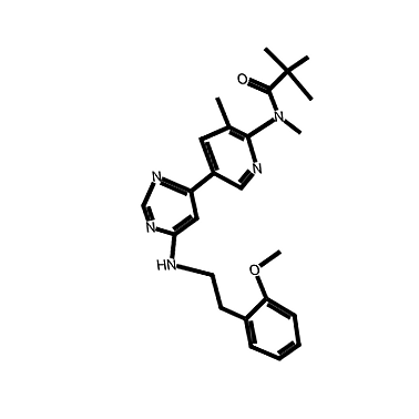 COc1ccccc1CCNc1cc(-c2cnc(N(C)C(=O)C(C)(C)C)c(C)c2)ncn1